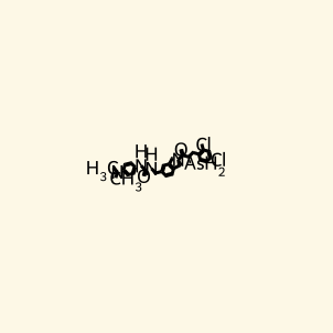 CN(C)c1ccc(NC(=O)NCc2ccc3c(c2)CN(C(=O)[C@H]([AsH2])Cc2ccc(Cl)cc2Cl)C3)cc1